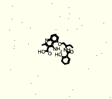 CCC(COc1cccc2nc(C)c(C(=O)O)c(N)c12)NC(=O)C1=C(O)CCC=C1